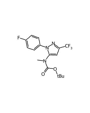 CN(C(=O)OC(C)(C)C)c1cc(C(F)(F)F)nn1-c1ccc(F)cc1